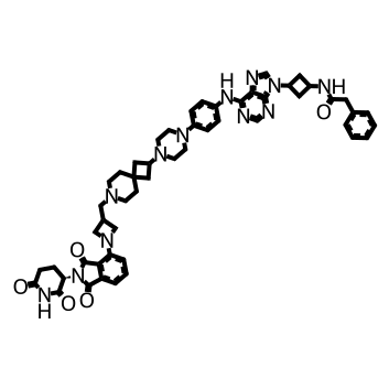 O=C1CC[C@H](N2C(=O)c3cccc(N4CC(CN5CCC6(CC5)CC(N5CCN(c7ccc(Nc8ncnc9c8ncn9C8CC(NC(=O)Cc9ccccc9)C8)cc7)CC5)C6)C4)c3C2=O)C(=O)N1